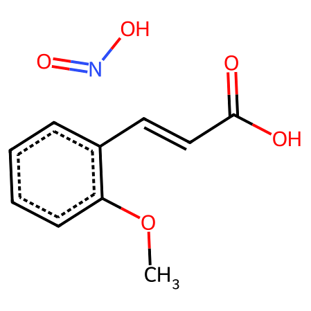 COc1ccccc1C=CC(=O)O.O=NO